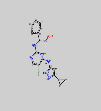 OC[C@H](Nc1ncc(F)c(Nc2cc(C3CC3)n[nH]2)n1)c1ccccc1